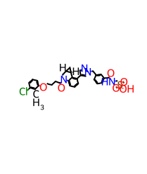 Cc1c(Cl)cccc1OCCCC(=O)N1C[C@H]2C[C@H]2c2c(-c3cnn(Cc4cccc(C(=O)NCS(=O)(=O)O)c4)c3)cccc21